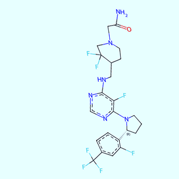 NC(=O)CN1CCC(CNc2ncnc(N3CCC[C@@H]3c3ccc(C(F)(F)F)cc3F)c2F)C(F)(F)C1